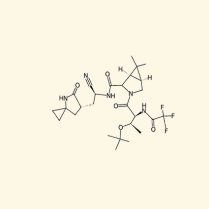 C[C@@H](OC(C)(C)C)[C@H](NC(=O)C(F)(F)F)C(=O)N1C[C@H]2[C@@H](C1C(=O)N[C@H](C#N)C[C@@H]1CC3(CC3)NC1=O)C2(C)C